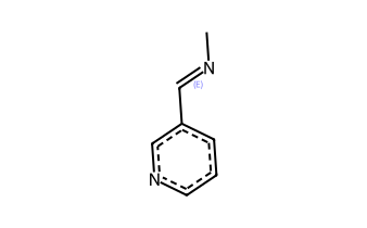 C/N=C/c1cccnc1